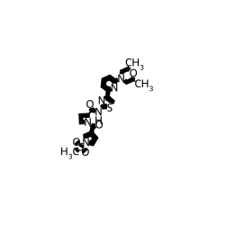 C[C@@H]1CN(c2cccc(-c3csc(NC(=O)[C@@H]4CCN4C(=O)c4ccn(S(C)(=O)=O)c4)n3)n2)C[C@H](C)O1